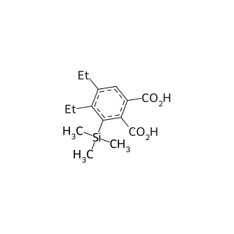 CCc1cc(C(=O)O)c(C(=O)O)c([Si](C)(C)C)c1CC